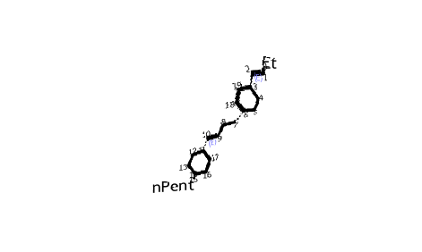 CC/C=C/[C@H]1CC[C@H](CC/C=C/[C@H]2CC[C@H](CCCCC)CC2)CC1